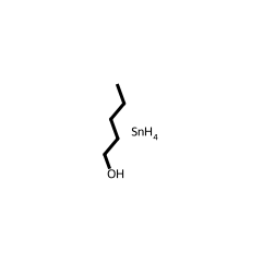 CCCCCO.[SnH4]